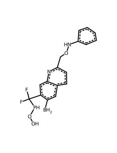 Bc1cc2ccc(CONc3ccccc3)nc2cc1C(F)(F)POO